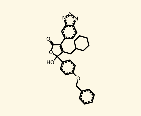 O=C1OC(O)(c2ccc(OCc3ccccc3)cc2)C(CC2CCCCC2)=C1c1ccc2nsnc2c1